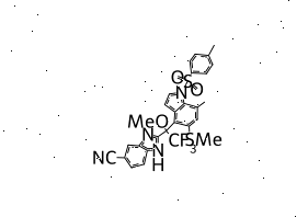 COC(c1nc2cc(C#N)ccc2[nH]1)(c1c(SC)cc(C)c2c1ccn2S(=O)(=O)c1ccc(C)cc1)C(F)(F)F